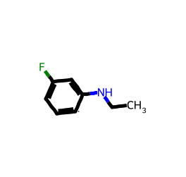 CCNc1[c]ccc(F)c1